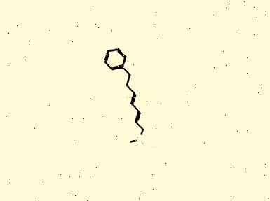 CN(C=O)C/C=C/C=C/CCc1ccccc1